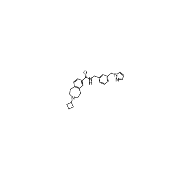 O=C(NCc1cccc(Cn2cccn2)c1)c1ccc2c(c1)CCN(C1CCC1)CC2